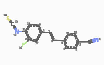 N#Cc1ccc(C=Cc2ccc(N=C=S)c(F)c2)cc1